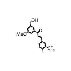 COc1cc(CO)cc(C(=O)/C=C/c2ccc(C)c(C(F)(F)F)c2)c1